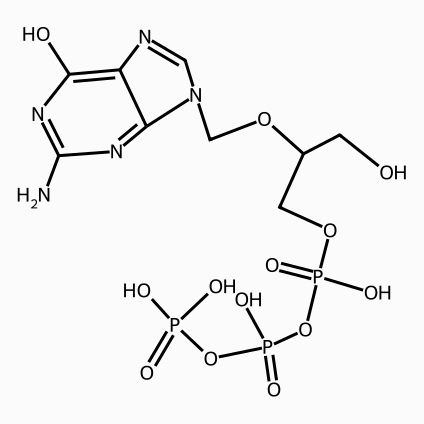 Nc1nc(O)c2ncn(COC(CO)COP(=O)(O)OP(=O)(O)OP(=O)(O)O)c2n1